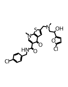 CN(Cc1cc2c(=O)c(C(=O)NCc3ccc(Cl)cc3)cn(C)c2s1)CC(O)c1ccc(Cl)o1